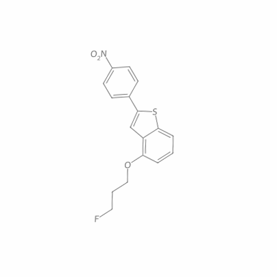 O=[N+]([O-])c1ccc(-c2cc3c(OCCCF)cccc3s2)cc1